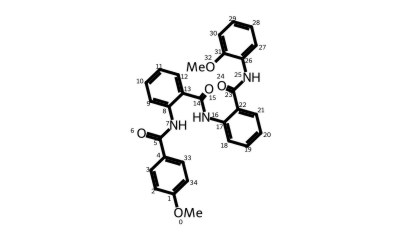 COc1ccc(C(=O)Nc2ccccc2C(=O)Nc2ccccc2C(=O)Nc2ccccc2OC)cc1